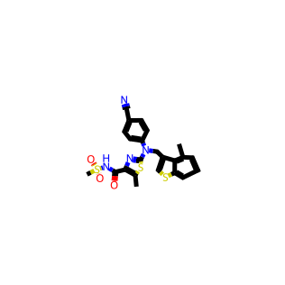 Cc1sc(N(Cc2csc3cccc(C)c23)c2ccc(C#N)cc2)nc1C(=O)NS(C)(=O)=O